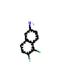 Nc1ccc2c(F)c(F)ccc2c1